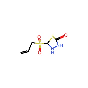 C=CCS(=O)(=O)C1NNC(=O)S1